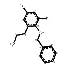 OCCc1cc(F)cc(F)c1OCc1ccccc1